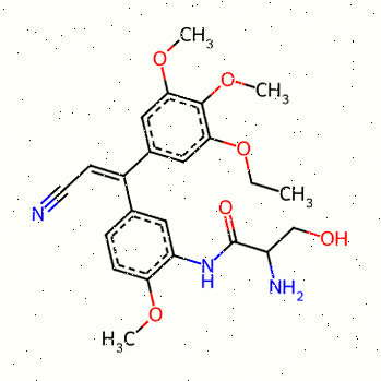 CCOc1cc(/C(=C/C#N)c2ccc(OC)c(NC(=O)C(N)CO)c2)cc(OC)c1OC